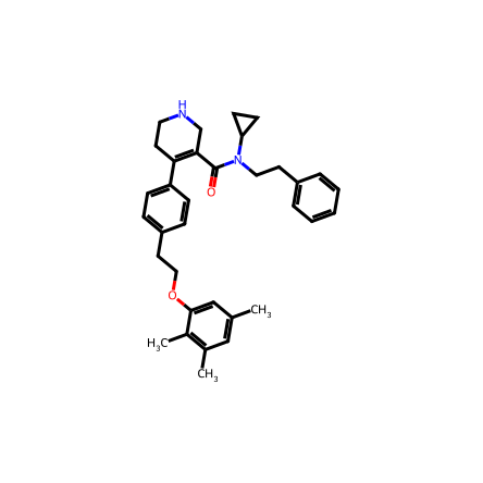 Cc1cc(C)c(C)c(OCCc2ccc(C3=C(C(=O)N(CCc4ccccc4)C4CC4)CNCC3)cc2)c1